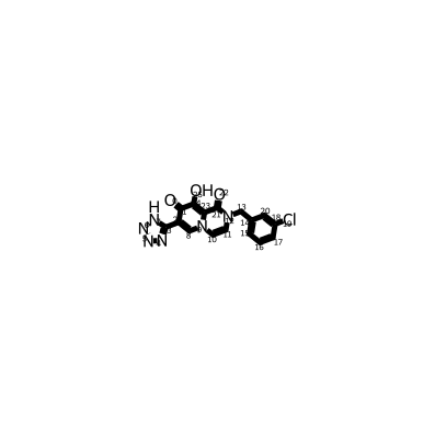 O=c1c(-c2nnn[nH]2)cn2ccn(Cc3cccc(Cl)c3)c(=O)c2c1O